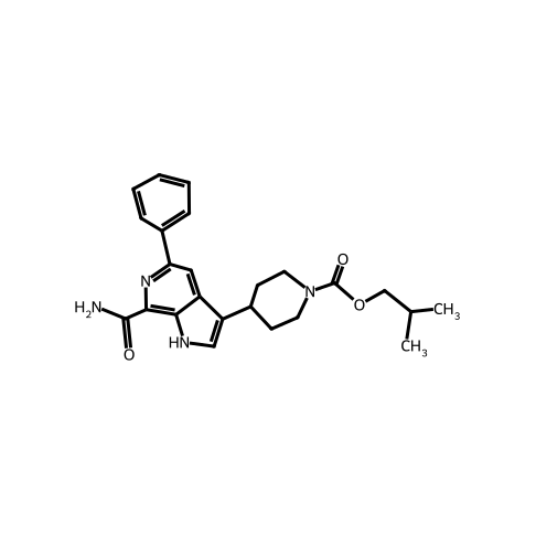 CC(C)COC(=O)N1CCC(c2c[nH]c3c(C(N)=O)nc(-c4ccccc4)cc23)CC1